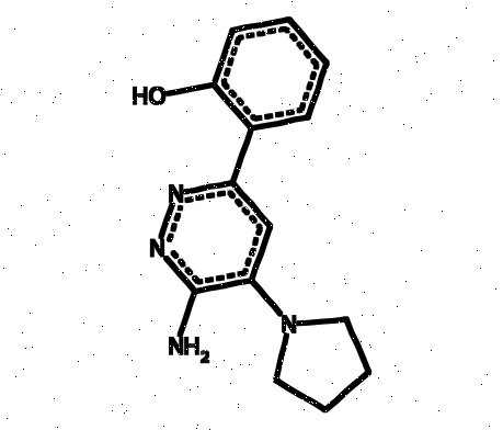 Nc1nnc(-c2ccccc2O)cc1N1CCCC1